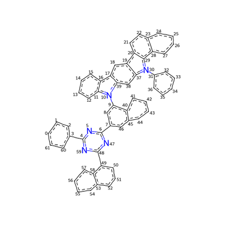 c1ccc(-c2nc(-c3cc(-n4c5ccccc5c5cc6c7ccc8ccccc8c7n(-c7ccccc7)c6cc54)c4ccccc4c3)nc(-c3cccc4ccccc34)n2)cc1